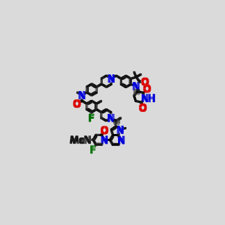 CNc1cc(=O)n(-c2ccnc3c2cc([C@H](C)N2CC=C(c4c(C)cc(C(=O)N(C)c5ccc(C6CCN(Cc7ccc8c(c7)C(C)(C)C(=O)N8[C@@H]7CCC(=O)NC7=O)CC6)cc5)cc4F)CC2)n3C)cc1F